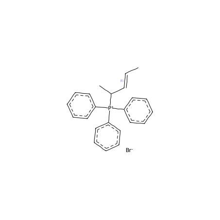 C/C=C/C(C)[P+](c1ccccc1)(c1ccccc1)c1ccccc1.[Br-]